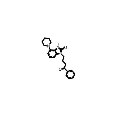 O=C(CCCn1c(=O)[nH]c2c(N3CCCCC3)cccc21)c1ccccc1